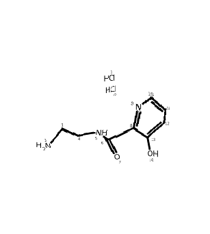 Cl.Cl.NCCNC(=O)c1ncccc1O